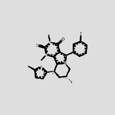 Cc1ccc([C@@H]2C[C@@H](C)Cn3c(-c4cccc(F)c4)c4c(=O)n(C)c(=O)n(C)c4c32)o1